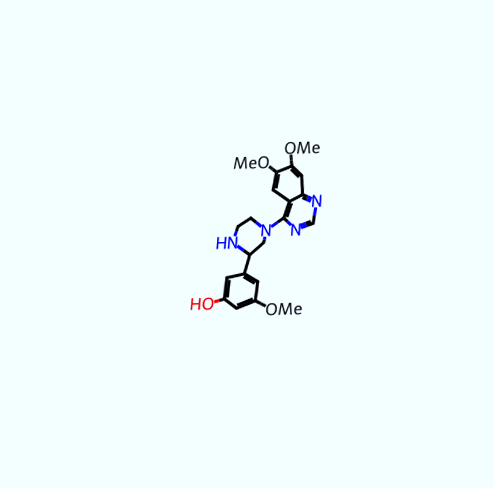 COc1cc(O)cc(C2CN(c3ncnc4cc(OC)c(OC)cc34)CCN2)c1